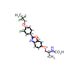 C[C@@H](COc1ccc2nc(-c3ccc(OCC(C)(F)F)c(F)c3)oc2c1)NC(=O)O